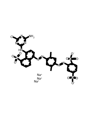 Cc1cc(N=Nc2ccc(Nc3nc(N)nc(Cl)n3)c3c(S(=O)(=O)[O-])cccc23)c(C)cc1N=Nc1cc(S(=O)(=O)[O-])ccc1S(=O)(=O)[O-].[Na+].[Na+].[Na+]